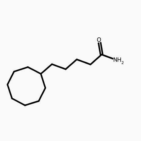 NC(=O)CCCCC1CCCCCCC1